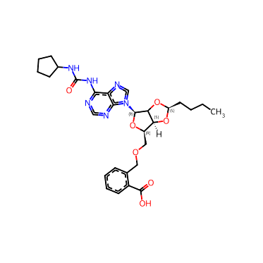 CCCC[C@@H]1OC2[C@@H](O1)[C@@H](COCc1ccccc1C(=O)O)O[C@H]2n1cnc2c(NC(=O)NC3CCCC3)ncnc21